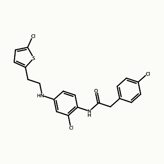 O=C(Cc1ccc(Cl)cc1)Nc1ccc(NCCc2ccc(Cl)s2)cc1Cl